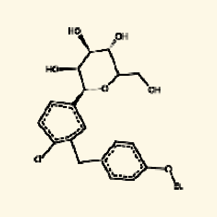 CCOc1ccc(Cc2cc([C@@H]3OC(CO)[C@@H](O)[C@H](O)[C@@H]3O)ccc2Cl)cc1